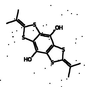 CC(C)=C1Sc2c(O)c3c(c(O)c2S1)SC(=C(C)C)S3